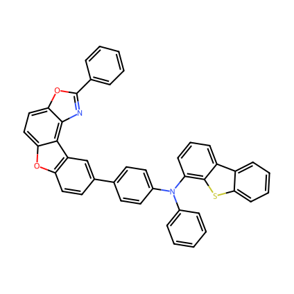 c1ccc(-c2nc3c(ccc4oc5ccc(-c6ccc(N(c7ccccc7)c7cccc8c7sc7ccccc78)cc6)cc5c43)o2)cc1